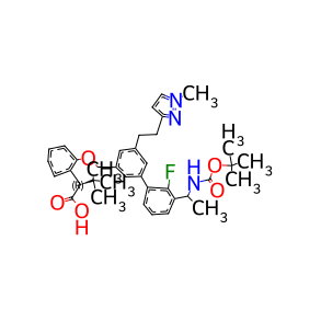 CC(NC(=O)OC(C)(C)C)c1cccc(-c2cc(CCc3ccn(C)n3)cc(COc3ccccc3[C@H](C(=O)O)C(C)(C)C)c2)c1F